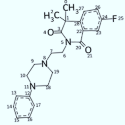 CC1(C)C(=O)N(CCN2CCN(c3ccccc3)CC2)C(=O)c2cc(F)ccc21